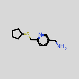 NCc1ccc(CSC2CCCC2)nc1